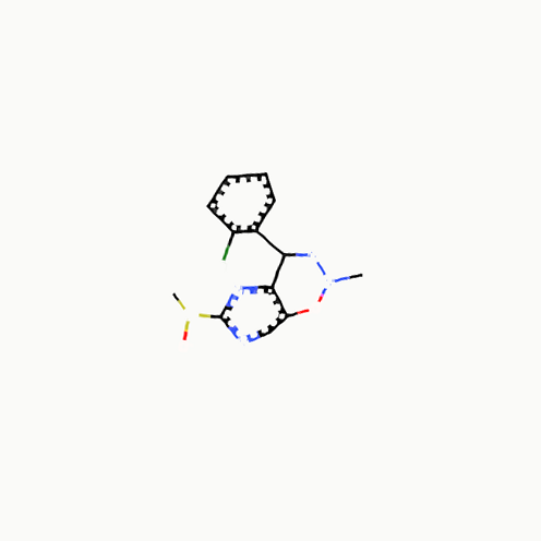 CN1NC(c2ccccc2Cl)c2nc([S+](C)[O-])ncc2O1